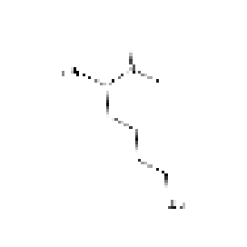 CCCC(CCCCC(C)(C)C)N(C)C